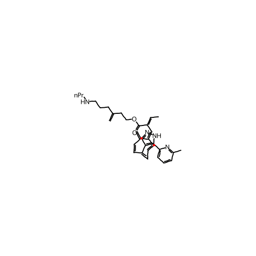 C=C(CCCNCCC)CCOC(=O)C(/C=C1/C=C/C=C(c2cn[nH]c2-c2cccc(C)n2)/C=C\C1=C)=C/C